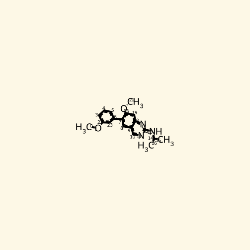 COc1cccc(-c2cc3cnc(NC(C)C)nc3cc2OC)c1